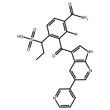 CCC(c1ccc(C(N)=O)c(F)c1C(=O)c1c[nH]c2ncc(-c3cccnc3)cc12)S(=O)(=O)O